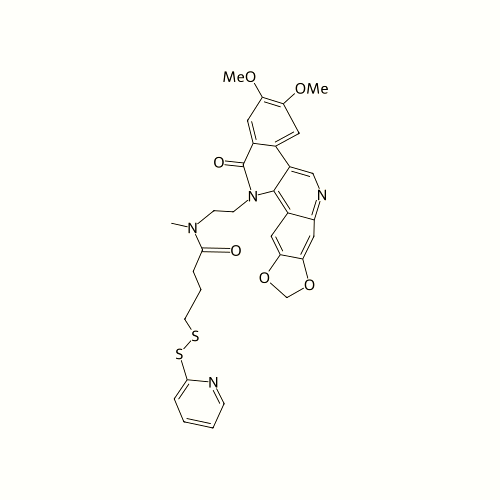 COc1cc2c(=O)n(CCN(C)C(=O)CCCSSc3ccccn3)c3c4cc5c(cc4ncc3c2cc1OC)OCO5